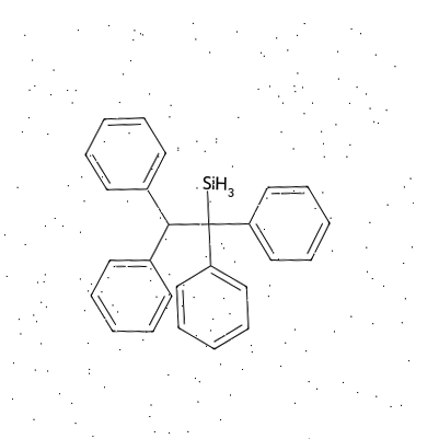 [SiH3]C(c1ccccc1)(c1ccccc1)C(c1ccccc1)c1ccccc1